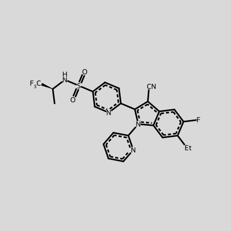 CCc1cc2c(cc1F)c(C#N)c(-c1ccc(S(=O)(=O)N[C@@H](C)C(F)(F)F)cn1)n2-c1ccccn1